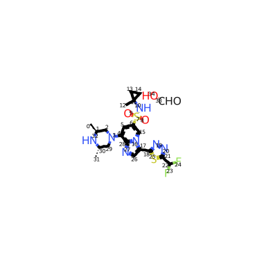 C[C@H]1CN(c2cc(S(=O)(=O)NC3(C)CC3)cn3c(-c4nnc(C(F)F)s4)cnc23)C[C@H](C)N1.O=CO